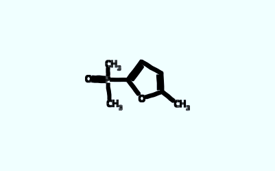 Cc1ccc(P(C)(C)=O)o1